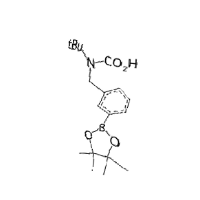 CC(C)(C)N(Cc1cccc(B2OC(C)(C)C(C)(C)O2)c1)C(=O)O